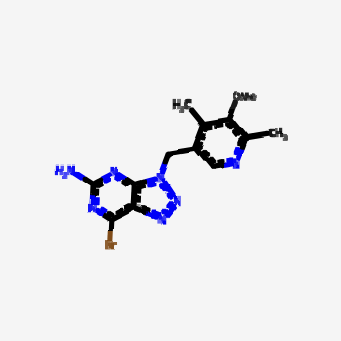 COc1c(C)ncc(Cn2nnc3c(Br)nc(N)nc32)c1C